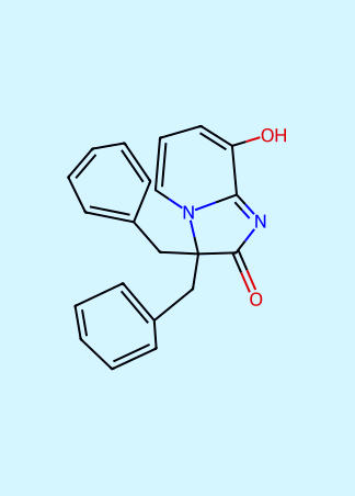 O=C1N=C2C(O)=CC=CN2C1(Cc1ccccc1)Cc1ccccc1